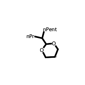 CCCCCC(CCC)C1OC[CH]CO1